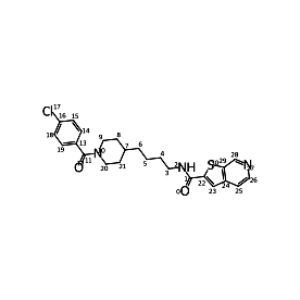 O=C(NCCCCC1CCN(C(=O)c2ccc(Cl)cc2)CC1)c1cc2ccncc2s1